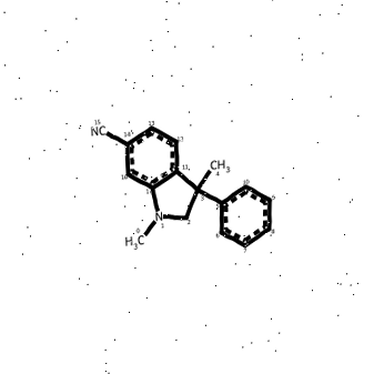 CN1CC(C)(c2ccccc2)c2ccc(C#N)cc21